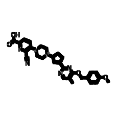 COc1ccc(COc2nc(C3=CC(N4CCN(c5ccc(C(=O)O)nc5C#N)CC4)CC3)ncc2C)cc1